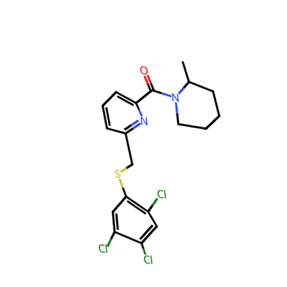 CC1CCCCN1C(=O)c1cccc(CSc2cc(Cl)c(Cl)cc2Cl)n1